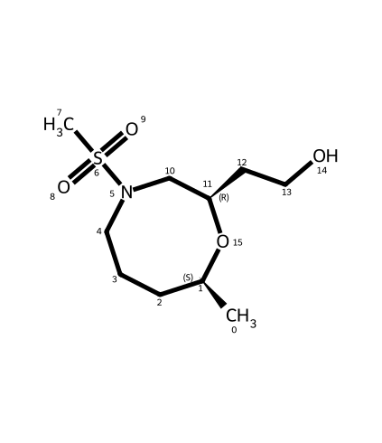 C[C@H]1CCCN(S(C)(=O)=O)C[C@@H](CCO)O1